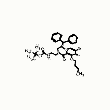 CCCCOc1c2n(cc(Br)c1=O)N(C(c1ccccc1)c1ccccc1)CN(CCNC(=O)OC(C)(C)C)C2=O